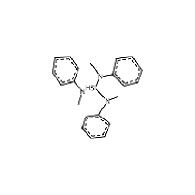 CN(c1ccccc1)[SiH](N(C)c1ccccc1)N(C)c1ccccc1